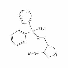 COC1COCC1CO[Si](c1ccccc1)(c1ccccc1)C(C)(C)C